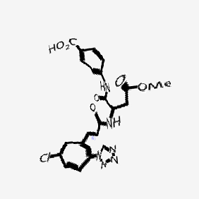 COC(=O)CC(NC(=O)/C=C/c1cc(Cl)ccc1-n1cnnn1)C(=O)Nc1ccc(C(=O)O)cc1